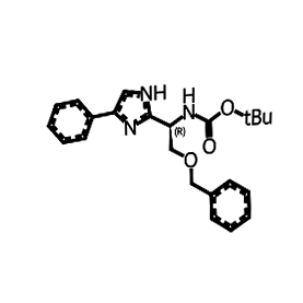 CC(C)(C)OC(=O)N[C@@H](COCc1ccccc1)c1nc(-c2ccccc2)c[nH]1